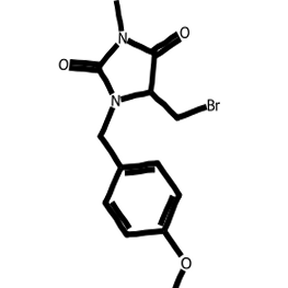 COc1ccc(CN2C(=O)N(C)C(=O)C2CBr)cc1